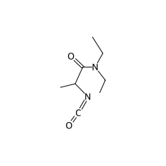 CCN(CC)C(=O)C(C)N=C=O